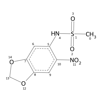 CS(=O)(=O)Nc1cc2c(cc1[N+](=O)[O-])OCO2